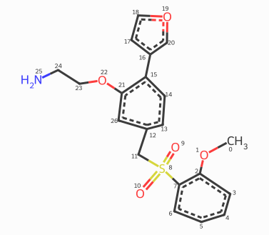 COc1ccccc1S(=O)(=O)Cc1ccc(-c2ccoc2)c(OCCN)c1